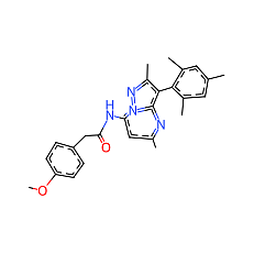 COc1ccc(CC(=O)Nc2cc(C)nc3c(-c4c(C)cc(C)cc4C)c(C)nn23)cc1